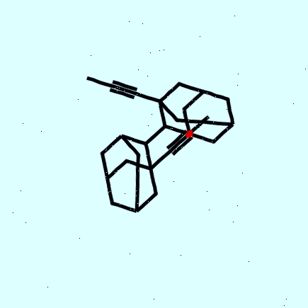 CC#CC12CC3CC(CC(C3)C1C1C3CC4CC(C3)CC1(C#CC)C4)C2